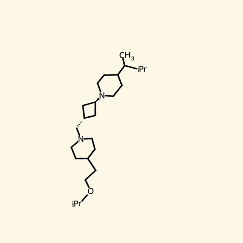 CC(C)OCCC1CCN(C[C@H]2C[C@H](N3CCC(C(C)C(C)C)CC3)C2)CC1